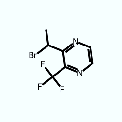 CC(Br)c1nccnc1C(F)(F)F